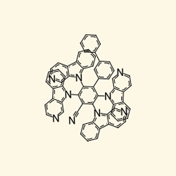 N#Cc1c(-n2c3ccccc3c3ccncc32)c(-n2c3ccccc3c3ccncc32)c(-c2cccc(-c3ccccc3)c2)c(-n2c3ccccc3c3ccncc32)c1-n1c2ccccc2c2ccncc21